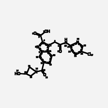 O=C(Cn1c(C(=O)O)nc2cc(C(=O)N3CC(O)C3)ccc21)Nc1ccc(Cl)cn1